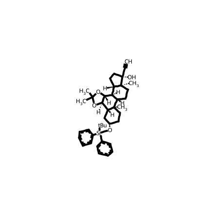 C#C[C@]1(O)CC[C@H]2[C@@H]3[C@H]4OC(C)(C)O[C@@H]4[C@H]4C[C@@H](O[Si](c5ccccc5)(c5ccccc5)C(C)(C)C)CC[C@]4(C)[C@H]3CC[C@@]21C